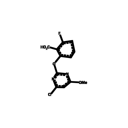 COc1cc(Cl)nc(Oc2cccc(F)c2C(=O)O)n1